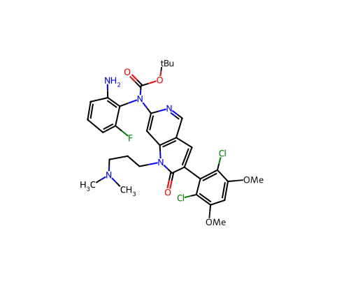 COc1cc(OC)c(Cl)c(-c2cc3cnc(N(C(=O)OC(C)(C)C)c4c(N)cccc4F)cc3n(CCCN(C)C)c2=O)c1Cl